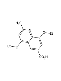 CCOc1cc(C)nc2c(OCC)cc(C(=O)O)cc12